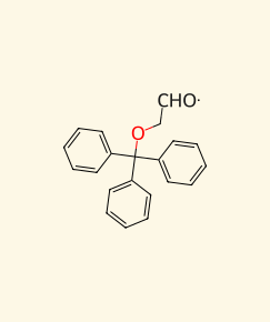 O=[C]COC(c1ccccc1)(c1ccccc1)c1ccccc1